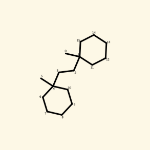 CC1(CCC2(C)CCCCC2)CCCCC1